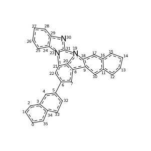 c1ccc2cc(-c3cc4c5cc6ccccc6cc5n5c4c(c3)n3c4ccccc4nc35)ccc2c1